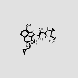 COCC1(NC(=O)/C(C)=C(\O)[C@@H]2Oc3c(O)ccc4c3[C@@]23CCN(CC2CC2)[C@H](C4)[C@@]3(C)O)CC1